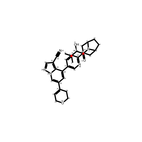 CC(C)[C@@H](O)C(=O)N1C2CCC1CN(c1ccc(-c3cc(C4=CCOCC4)cn4ncc(C#N)c34)cn1)C2